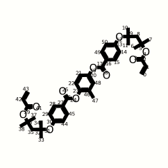 C=CC(=O)OC(C)(C)CC(C)(C)Oc1ccc(C(=O)Oc2ccc(OC(=O)c3ccc(OC(C)(C)CC(C)(C)OC(=O)C=C)cc3)c(C)c2)cc1